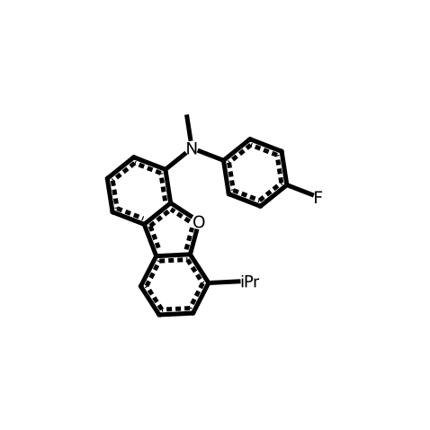 CC(C)c1cccc2c1oc1c(N(C)c3ccc(F)cc3)cccc12